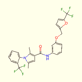 Cc1cc(C(=O)Nc2cccc(OCc3ccc(C(F)(F)F)o3)c2)c(C)n1-c1ccccc1C(F)(F)F